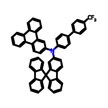 FC(F)(F)c1ccc(-c2ccc(N(c3ccc4c(c3)C3(c5ccccc5-c5ccccc53)c3ccccc3-4)c3ccc4c5ccccc5c5ccccc5c4c3)cc2)cc1